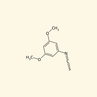 COc1cc(N=C=S)cc(OC)c1